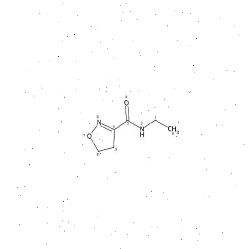 CCNC(=O)C1=NOCC1